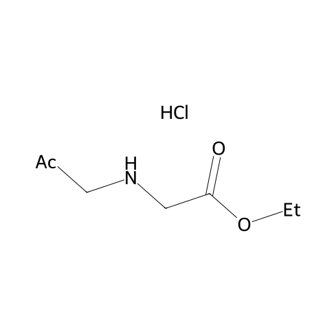 CCOC(=O)CNCC(C)=O.Cl